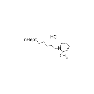 CCCCCCCCCCCCN1C=CC=CC1C.Cl